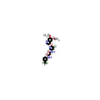 COc1cc2nccc(Oc3ncc(NC(=O)CC(=O)Nc4cccc(C(F)(F)F)c4)cc3Cl)c2cc1OC